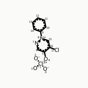 [O-][Cl+3]([O-])([O-])Oc1cn[n+](-c2ccccc2)cc1Cl